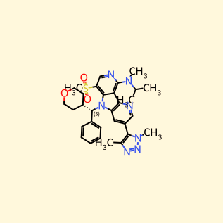 Cc1nnn(C)c1-c1cnc2c3c(N(C)C(C)C)ncc(S(C)(=O)=O)c3n([C@H](c3ccccc3)C3CCOCC3)c2c1